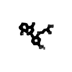 Cc1ccc(-c2cc(=O)c3cccc(Cl)c3o2)c(OCCC(=O)O)c1